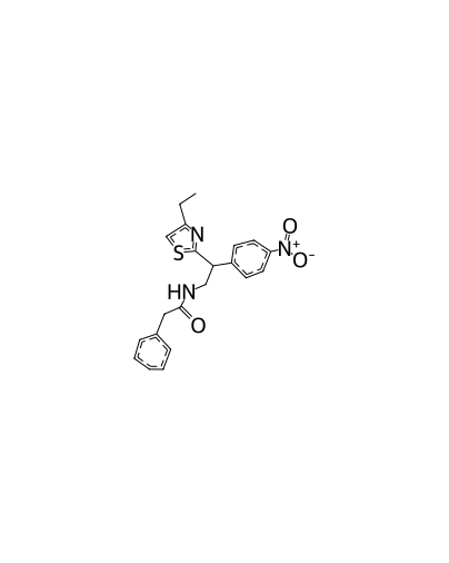 CCc1csc(C(CNC(=O)Cc2ccccc2)c2ccc([N+](=O)[O-])cc2)n1